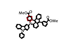 COC(=O)c1cccc(-c2c3ccccc3c(-c3cccc(C(=O)OC)c3)c3c(N(c4ccccc4)c4ccc5c(c4)c4ccccc4n5-c4ccccc4)cccc23)c1